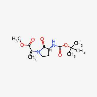 C=C(C(=O)OC)N1CC[C@H](NC(=O)OC(C)(C)C)C1=O